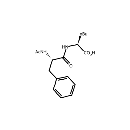 CCCC[C@H](NC(=O)[C@H](Cc1ccccc1)NC(C)=O)C(=O)O